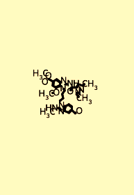 CCn1nc(C)cc1C(=O)Nc1nc2cc(C(=O)OC)cc(OC)c2n1CCCCn1c(NC)nc2cc(C=O)ccc21